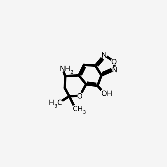 CC1(C)CC(N)c2cc3nonc3c(O)c2O1